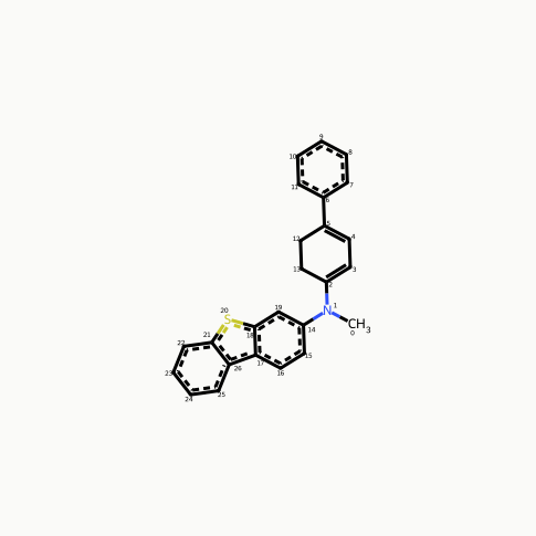 CN(C1=CC=C(c2ccccc2)CC1)c1ccc2c(c1)sc1ccccc12